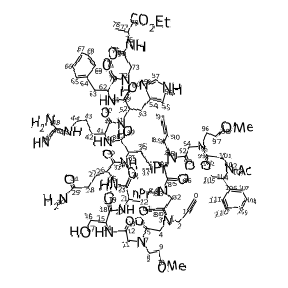 C#CCN(CC(=O)N(CCOC)CC(=O)NC(CO)C(=O)NC(C)C(=O)NC(CCC(N)=O)C(=O)NC(CC(C)C)C(=O)NC(CCCNC(=N)N)C(=O)NC(Cc1c[nH]cn1)C(=O)NC(Cc1ccccc1)C(=O)NCC(=O)NC(C)C(=O)OCC)C(=O)CN(CCC)C(=O)CN(CC=C)C(=O)CN(CCOC)C(=O)CN(C(C)=O)C(C)c1ccccc1